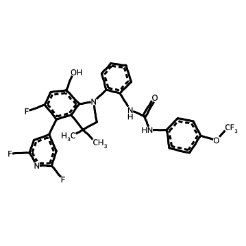 CC1(C)CN(c2ccccc2NC(=O)Nc2ccc(OC(F)(F)F)cc2)c2c(O)cc(F)c(-c3cc(F)nc(F)c3)c21